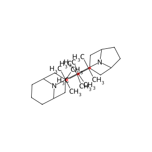 CC(C)(C)C1CC2CCC(C1)N2C(C)(C)C(C)(C)C1CC2CCCC(C1)N2C(C)(C)C